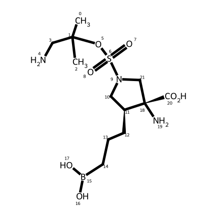 CC(C)(CN)OS(=O)(=O)N1C[C@H](CCCB(O)O)[C@](N)(C(=O)O)C1